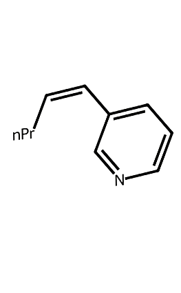 CCC/C=C\c1cccnc1